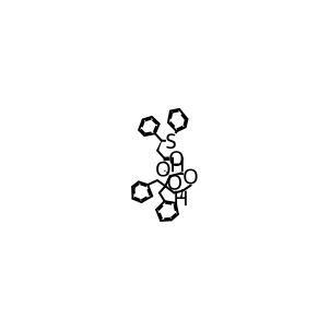 O=C(C[C@H](Sc1ccccc1)c1ccccc1)O[C@@H]1[C@@H]2OC[C@H](CC1(Cc1ccccc1)Cc1ccccc1)O2